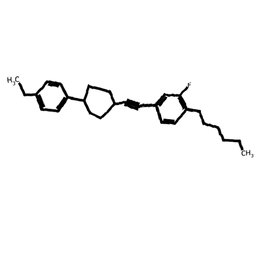 CCCCCCc1ccc(C#CC2CCC(c3ccc(CC)cc3)CC2)cc1F